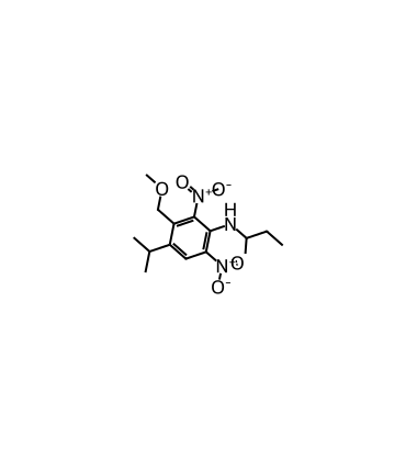 CCC(C)Nc1c([N+](=O)[O-])cc(C(C)C)c(COC)c1[N+](=O)[O-]